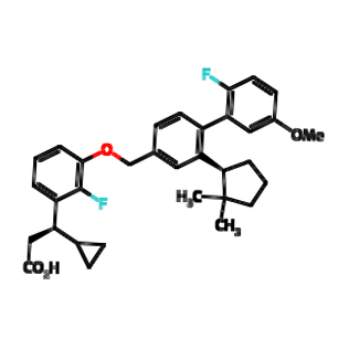 COc1ccc(F)c(-c2ccc(COc3cccc([C@H](CC(=O)O)C4CC4)c3F)cc2[C@H]2CCCC2(C)C)c1